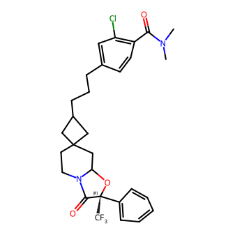 CN(C)C(=O)c1ccc(CCCC2CC3(CCN4C(=O)[C@](c5ccccc5)(C(F)(F)F)OC4C3)C2)cc1Cl